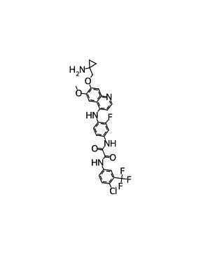 COc1cc2c(Nc3ccc(NC(=O)C(=O)Nc4ccc(Cl)c(C(F)(F)F)c4)cc3F)ccnc2cc1OCC1(N)CC1